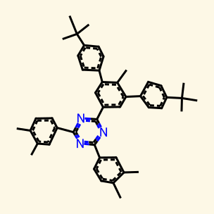 Cc1ccc(-c2nc(-c3ccc(C)c(C)c3)nc(-c3cc(-c4ccc(C(C)(C)C)cc4)c(C)c(-c4ccc(C(C)(C)C)cc4)c3)n2)cc1C